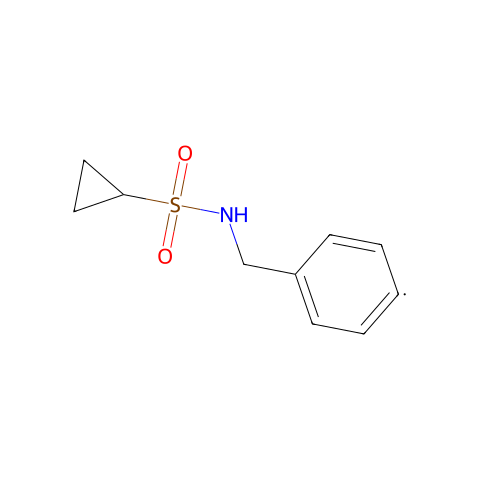 O=S(=O)(NCc1cc[c]cc1)C1CC1